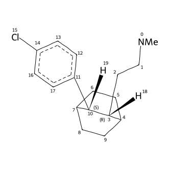 CNCC[C@@H]1C2CCC(CC2)[C@@H]1c1ccc(Cl)cc1